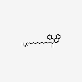 CCCCCCCCCCCCNc1ccc2ccccc2c1-c1ccccc1